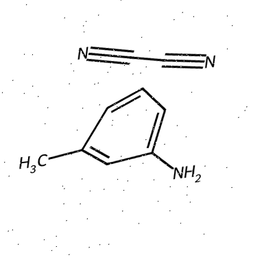 Cc1cccc(N)c1.N#CC#N